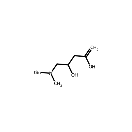 C=C(O)CC(O)CN(C)C(C)(C)C